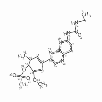 CCNC(=O)Nc1ccc2ncc(C3=CC(C)C(OS(C)(=O)=O)C(OC)=C3)nc2n1